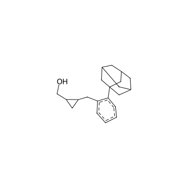 OCC1CC1Cc1ccccc1C12CC3CC(CC(C3)C1)C2